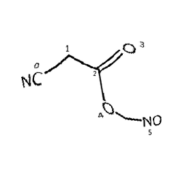 N#CCC(=O)ON=O